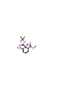 COC(=O)C1C=CC=C(N)C1(N)C(=O)OC(C)(C)C